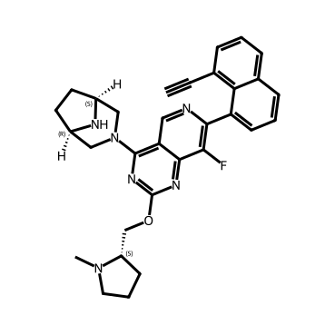 C#Cc1cccc2cccc(-c3ncc4c(N5C[C@H]6CC[C@@H](C5)N6)nc(OC[C@@H]5CCCN5C)nc4c3F)c12